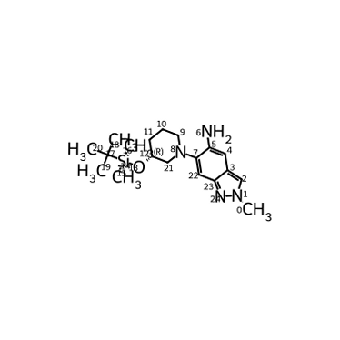 Cn1cc2cc(N)c(N3CCC[C@@H](O[Si](C)(C)C(C)(C)C)C3)cc2n1